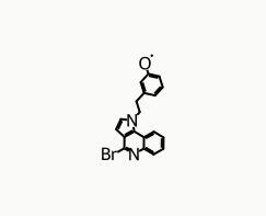 COc1cccc(CCn2ccc3c(Br)nc4ccccc4c32)c1